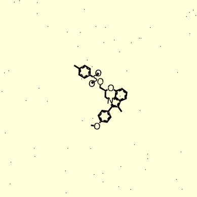 COc1ccc(-c2c(C)c3cccc4c3n2CC(COS(=O)(=O)c2ccc(C)cc2)O4)cc1